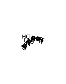 Cc1c(C(=O)Nc2ccc(N3CC(C)OC(C)C3)nc2)cccc1-c1ccc(OC(F)(F)F)cc1.Cl